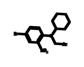 CC(=O)CN(c1ccc(Br)cc1[N+](=O)[O-])C1CCCCC1